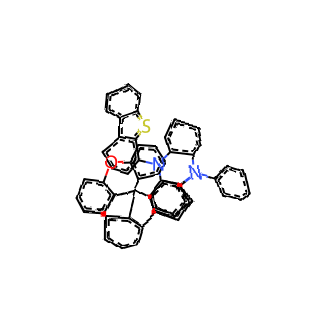 c1ccc(N(c2ccccc2)c2ccccc2N(c2cccc3c2C2(c4ccccc4Oc4ccccc42)c2ccccc2-3)c2cccc3c2sc2ccccc23)cc1